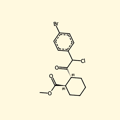 COC(=O)[C@@H]1CCCC[C@H]1C(=O)C(Cl)c1ccc(Br)cc1